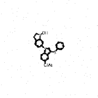 COc1ccc2c(c1)c(Sc1ccccc1)cn2-c1ccc2c(c1)B(O)CC2